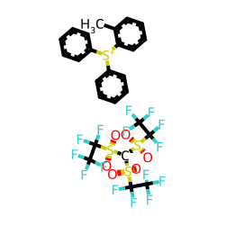 Cc1ccccc1[S+](c1ccccc1)c1ccccc1.O=S(=O)([C-](S(=O)(=O)C(F)(F)C(F)(F)F)S(=O)(=O)C(F)(F)C(F)(F)F)C(F)(F)C(F)(F)F